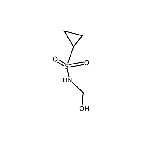 O=S(=O)(NCO)C1CC1